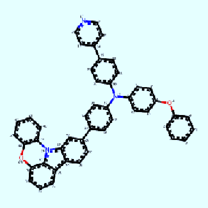 c1ccc(Oc2ccc(N(c3ccc(-c4ccncc4)cc3)c3ccc(-c4ccc5c6cccc7c6n(c5c4)-c4ccccc4O7)cc3)cc2)cc1